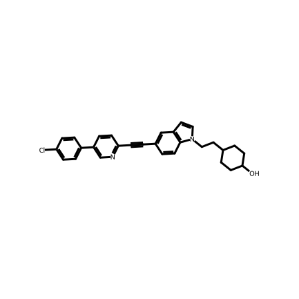 OC1CCC(CCn2ccc3cc(C#Cc4ccc(-c5ccc(Cl)cc5)cn4)ccc32)CC1